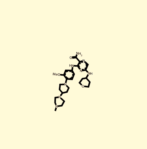 COc1cc(Nc2nc(NC3CCOCC3)cnc2C(N)=O)ccc1N1CCC(N2CCN(C)CC2)CC1